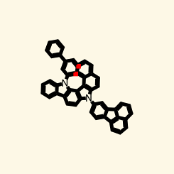 c1ccc(-c2cccc(-n3c4ccccc4c4ccc5c(c6c7ccccc7ccc6n5-c5ccc6c(c5)-c5cccc7cccc-6c57)c43)c2)cc1